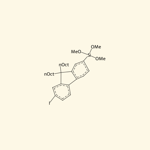 CCCCCCCCC1(CCCCCCCC)c2cc(I)ccc2-c2ccc([Si](OC)(OC)OC)cc21